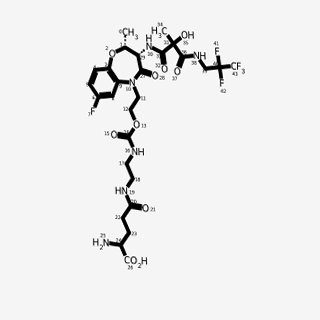 C[C@H]1Oc2ccc(F)cc2N(CCOC(=O)NCCNC(=O)CCC(N)C(=O)O)C(=O)[C@H]1NC(=O)C(C)(O)C(=O)NCC(F)(F)C(F)(F)F